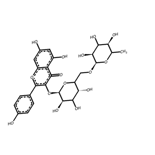 CC1O[C@@H](OCC2O[C@H](Oc3c(-c4ccc(O)cc4)oc4cc(O)cc(O)c4c3=O)[C@H](O)C(O)[C@H]2O)[C@@H](O)C(O)[C@H]1O